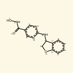 O=C(NO)c1cnc(NC2COc3ccccc32)nc1